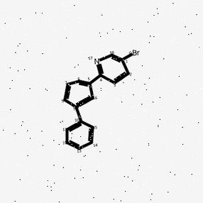 Brc1ccc(-c2cccc(-c3ccccc3)c2)nc1